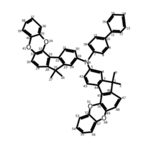 CC1(C)c2cc(N(c3ccc(-c4ccccc4)cc3)c3ccc4c(c3)C(C)(C)c3ccc5c(c3-4)Oc3ccccc3O5)ccc2-c2c1ccc1c2Oc2ccccc2O1